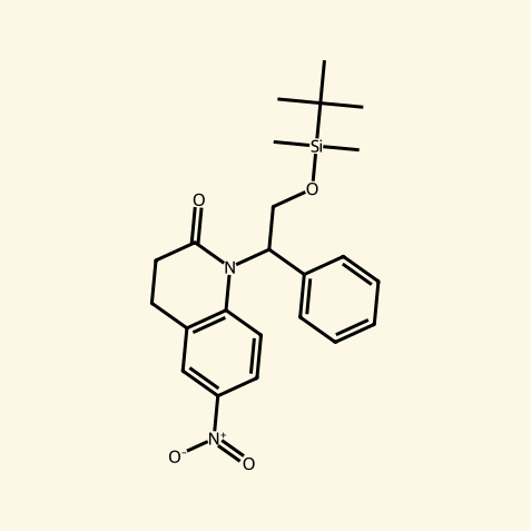 CC(C)(C)[Si](C)(C)OCC(c1ccccc1)N1C(=O)CCc2cc([N+](=O)[O-])ccc21